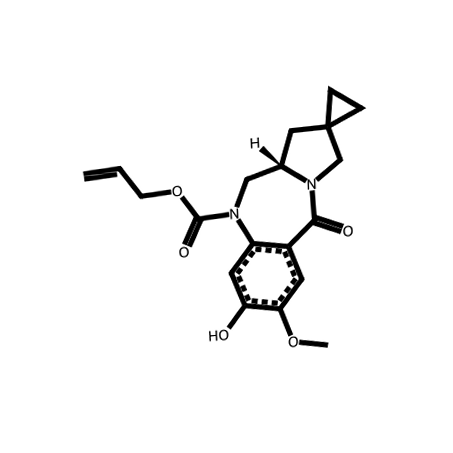 C=CCOC(=O)N1C[C@@H]2CC3(CC3)CN2C(=O)c2cc(OC)c(O)cc21